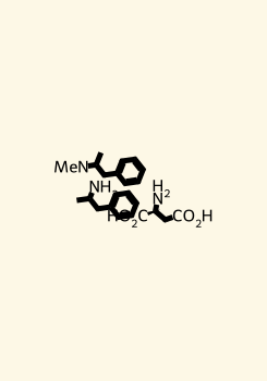 CC(N)Cc1ccccc1.CNC(C)Cc1ccccc1.N[C@@H](CC(=O)O)C(=O)O